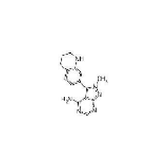 Cn1nc2ncnc(N)c2c1-c1ccc2c(c1)NCCC2